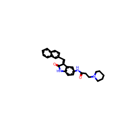 O=C(CCN1CCCCC1)Nc1ccc2c(c1)C(=Cc1ccc3ccccc3c1)C(=O)N2